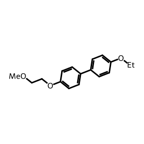 CCOc1ccc(-c2ccc(OCCOC)cc2)cc1